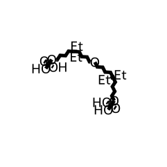 CCC(CC)(CCCCOCCCCC(CC)(CC)CCCCOP(=O)(O)O)CCCCOP(=O)(O)O